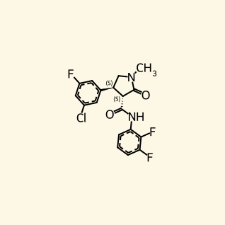 CN1C[C@H](c2cc(F)cc(Cl)c2)[C@@H](C(=O)Nc2cccc(F)c2F)C1=O